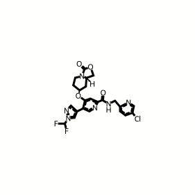 O=C(NCc1ccc(Cl)cn1)c1cc(O[C@H]2CCN3C(=O)OC[C@@H]3C2)c(-c2cnn(C(F)F)c2)cn1